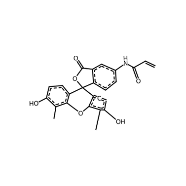 C=CC(=O)Nc1ccc2c(c1)C(=O)OC21c2ccc(O)c(C)c2Oc2c1ccc(O)c2C